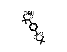 CC1(C)COB(c2ccc(C3OBOCC3(C)C)cc2)OC1